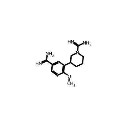 COc1[c]cc(C(=N)N)cc1C1CCCN(C(=N)N)C1